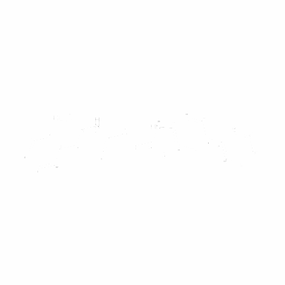 O=C(NC(Cc1ccccc1)C(=O)O)OCc1cc2cc(-c3ccccc3)ccc2[nH]1